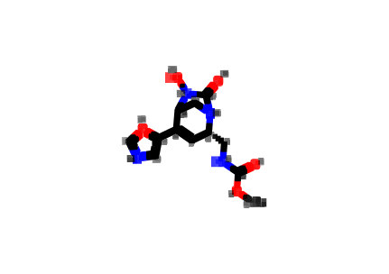 CC(C)(C)OC(=O)NC[C@@H]1C=C(c2cnco2)C2CN1C(=O)N2O